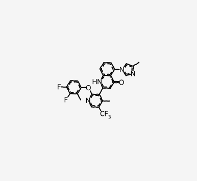 Cc1cn(-c2cccc3[nH]c(-c4c(Oc5ccc(F)c(F)c5C)ncc(C(F)(F)F)c4C)cc(=O)c23)cn1